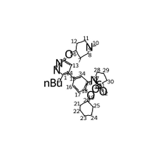 CCCCc1nnc(OC2CCN(C)CC2)cc1-c1ccc(OC2CCCCC2)c(N2CCCS2(=O)=O)c1